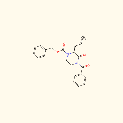 C=CC[C@H]1C(=O)N(C(=O)c2ccccc2)CCN1C(=O)OCc1ccccc1